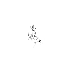 CCOC(=O)C1(C)C(=O)Nc2cc(NC(=O)c3cnc(=O)n(C)c3)c([N+](=O)[O-])cc21